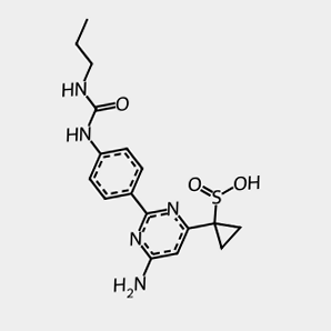 CCCNC(=O)Nc1ccc(-c2nc(N)cc(C3(S(=O)O)CC3)n2)cc1